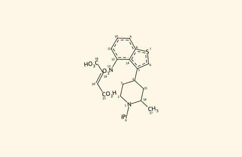 CC(C)N1CCC(c2csc3cccc([N+](=O)[O-])c23)CC1C.O=C(O)C=CC(=O)O